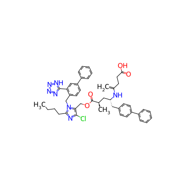 C=C(CCC(=O)O)N[C@H](Cc1ccc(-c2ccccc2)cc1)C[C@@H](C)C(=O)OCc1c(Cl)nc(CCCC)n1Cc1ccc(-c2ccccc2)cc1-c1nnn[nH]1